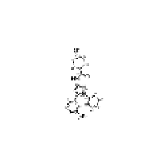 CCCc1cccc(-c2cc(NC(=O)C3CC[S+]([O-])CC3)nn2-c2ccccc2)c1